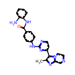 Cc1nc2cnccn2c1-c1ccnc(Nc2ccc(C(=O)Nc3ccccc3N)cc2)n1